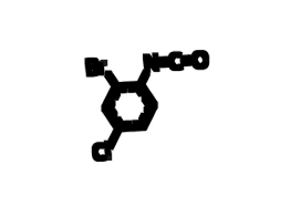 O=C=Nc1ccc(Cl)cc1Br